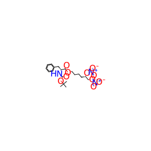 CC(C)(C)OC(=O)N[C@@H](Cc1ccccc1)C(=O)OCCCC[C@H](CO[N+](=O)[O-])O[N+](=O)[O-]